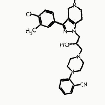 CC(=O)N1CCc2c(c(-c3ccc(Cl)c(C)c3)nn2CC(O)CN2CCN(c3ccccc3C#N)CC2)C1